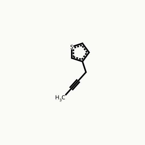 CC#CCc1ccsc1